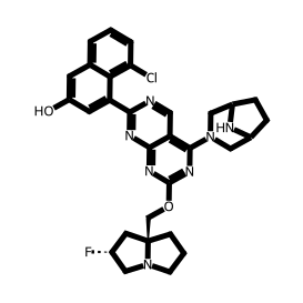 Oc1cc(-c2ncc3c(N4CC5CCC(C4)N5)nc(OC[C@@]45CCCN4C[C@H](F)C5)nc3n2)c2c(Cl)cccc2c1